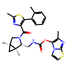 Cc1nc(C(=O)N2C[C@@H]3C[C@@H]3[C@H]2CNC(=O)Oc2c(C)nc3sccn23)c(-c2ccccc2C)s1